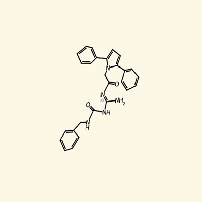 N/C(=N\C(=O)Cn1c(-c2ccccc2)ccc1-c1ccccc1)NC(=O)NCc1ccccc1